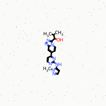 CC(C)C(O)c1nnc2cc(-c3ccnc(Nc4ccnn4C)n3)ccn12